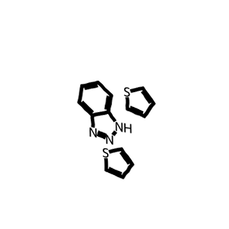 c1ccc2[nH]nnc2c1.c1ccsc1.c1ccsc1